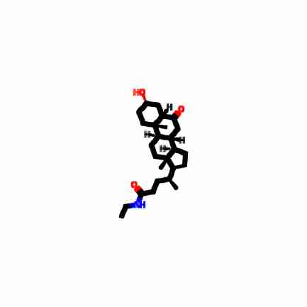 CCNC(=O)CC[C@H](C)[C@@H]1CC[C@@H]2[C@H]3CC(=O)[C@H]4C[C@@H](O)CC[C@@]4(C)[C@@H]3CC[C@]21C